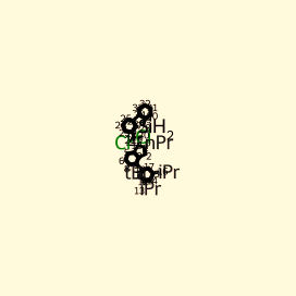 CCCC1=Cc2c(ccc(C(C)(C)C)c2-c2cc(C(C)C)cc(C(C)C)c2)[CH]1[Zr]([Cl])([Cl])[c]1cccc2c1[SiH2]c1ccccc1-2